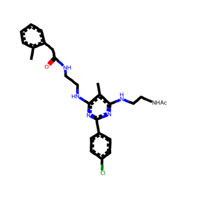 CC(=O)NCCNc1nc(-c2ccc(Cl)cc2)nc(NCCNC(=O)Cc2ccccc2C)c1C